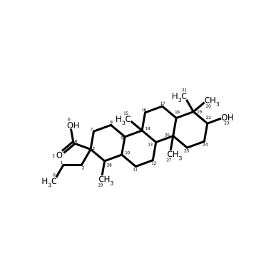 CCCC1(C(=O)O)CCC2C(CCC3C2(C)CCC2C(C)(C)C(O)CCC23C)C1C